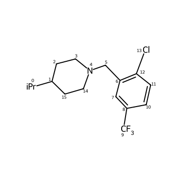 CC(C)C1CCN(Cc2cc(C(F)(F)F)ccc2Cl)CC1